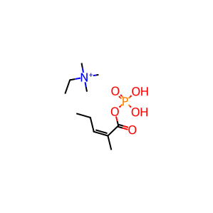 CCC=C(C)C(=O)OP(=O)(O)O.CC[N+](C)(C)C